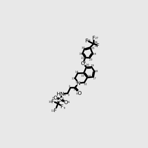 O=C(CCNS(=O)(=O)C(F)(F)F)N1CCc2c(cccc2Oc2ccc(C(F)(F)F)cc2)C1